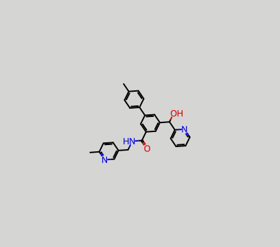 Cc1ccc(-c2cc(C(=O)NCc3ccc(C)nc3)cc(C(O)c3ccccn3)c2)cc1